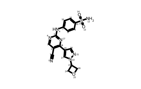 N#Cc1cnc(Nc2ccc(S(N)(=O)=O)cc2)nc1-c1cnn(C2COC2)c1